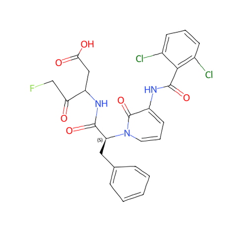 O=C(O)CC(NC(=O)[C@H](Cc1ccccc1)n1cccc(NC(=O)c2c(Cl)cccc2Cl)c1=O)C(=O)CF